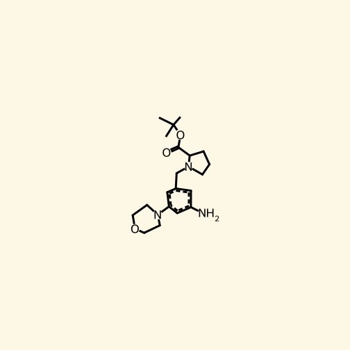 CC(C)(C)OC(=O)C1CCCN1Cc1cc(N)cc(N2CCOCC2)c1